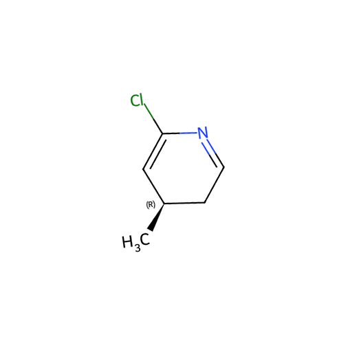 C[C@H]1C=C(Cl)N=CC1